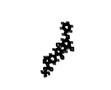 CC(C)(C)OC(=O)n1ncc2c1CCC(N1CC[C@@H](Cc3c(Cl)cc(OCc4ccccc4)cc3Cl)C1=O)C2